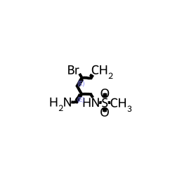 C=C/C(Br)=C\C(=C/N)CNS(C)(=O)=O